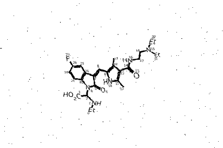 CCNC(C(=O)O)N1C(=O)C(=Cc2[nH]c(C)c(C(=O)NCCN(CC)CC)c2C)c2cc(F)ccc21